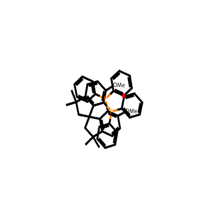 COc1ccc2c(c1P(c1ccccc1)c1ccccc1)C1(CC2(C)C)CC(C)(C)c2ccc(OC)c(P(c3ccccc3)c3ccccc3)c21